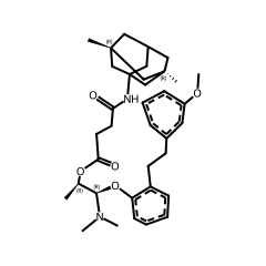 COc1cccc(CCc2ccccc2O[C@H]([C@@H](C)OC(=O)CCC(=O)NC23CC4C[C@@](C)(C2)C[C@@](C)(C4)C3)N(C)C)c1